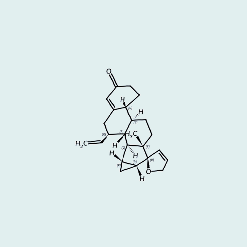 C=C[C@H]1CC2=CC(=O)CC[C@@H]2[C@H]2CC[C@@]3(C)[C@@H]([C@H]4C[C@H]4[C@@]34C=CCO4)[C@@H]21